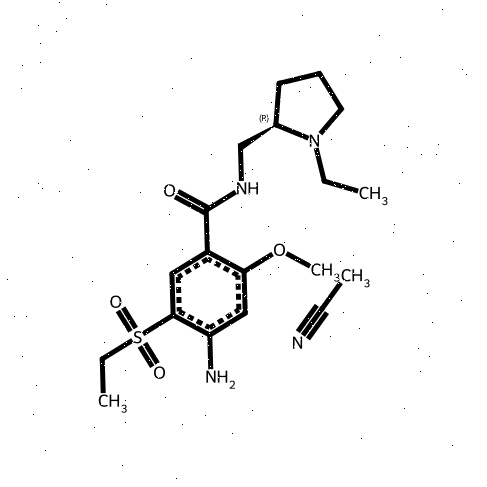 CC#N.CCN1CCC[C@@H]1CNC(=O)c1cc(S(=O)(=O)CC)c(N)cc1OC